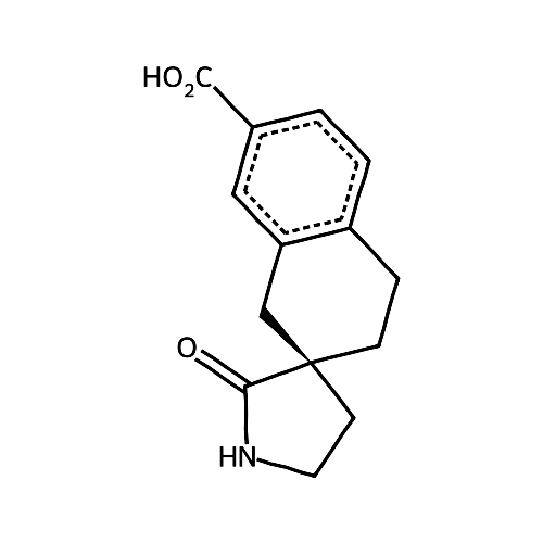 O=C(O)c1ccc2c(c1)C[C@]1(CCNC1=O)CC2